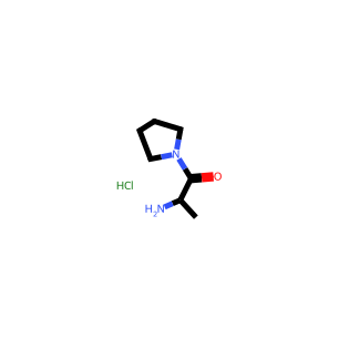 CC(N)C(=O)N1CCCC1.Cl